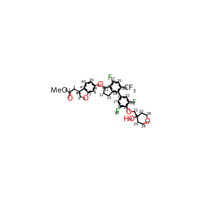 COC(=O)C[C@@H]1COc2cc(O[C@@H]3CCc4c(-c5cc(F)c(OCC6(O)CCOCC6)c(F)c5)c(C(F)(F)F)cc(F)c43)ccc21